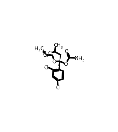 COCO[C@](CC(C)C)(OC(N)=O)c1ccc(Cl)cc1Cl